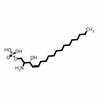 CCCCCCCCCCCCC/C=C\[C@@H](O)C(N)COP(=O)(O)O